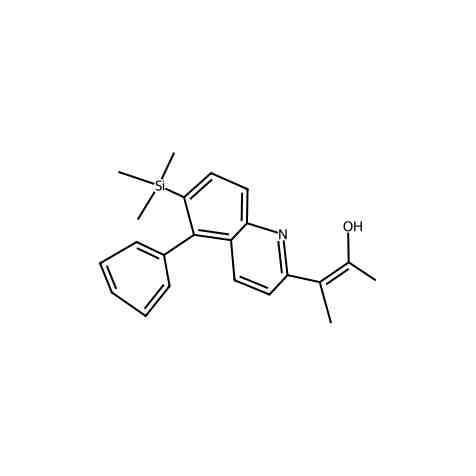 C/C(O)=C(\C)c1ccc2c(-c3ccccc3)c([Si](C)(C)C)ccc2n1